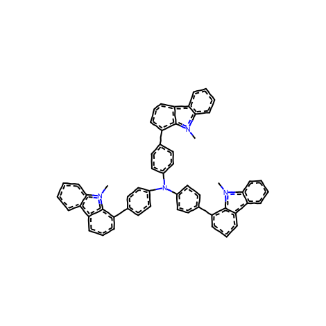 Cn1c2ccccc2c2cccc(-c3ccc(N(c4ccc(-c5cccc6c7ccccc7n(C)c56)cc4)c4ccc(-c5cccc6c7ccccc7n(C)c56)cc4)cc3)c21